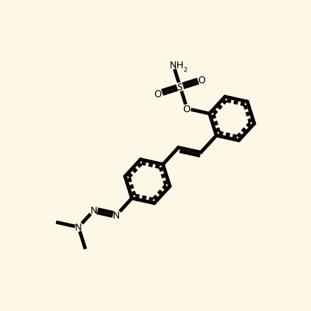 CN(C)N=Nc1ccc(/C=C/c2ccccc2OS(N)(=O)=O)cc1